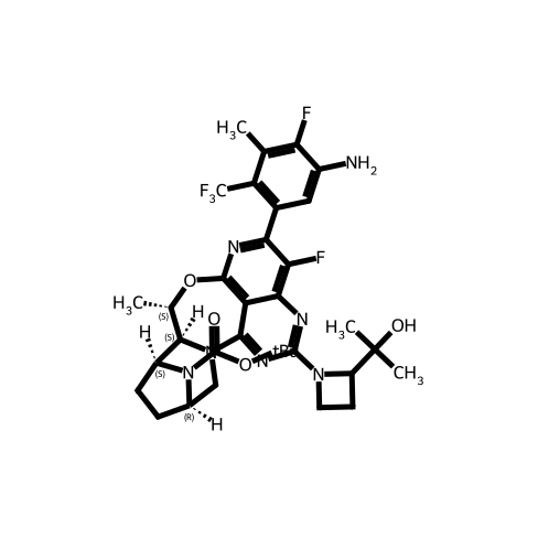 Cc1c(F)c(N)cc(-c2nc3c4c(nc(N5CCC5C(C)(C)O)nc4c2F)N2C[C@H]4CC[C@@H]([C@H]2[C@H](C)O3)N4C(=O)OC(C)(C)C)c1C(F)(F)F